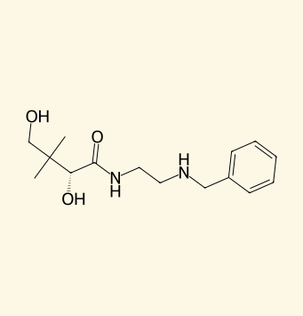 CC(C)(CO)[C@@H](O)C(=O)NCCNCc1ccccc1